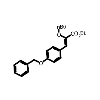 CCCCO/C(=C\c1ccc(OCc2ccccc2)cc1)C(=O)OCC